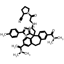 C=C(c1ccc2c(c1)CCc1cc(C(=O)N(C)C)ccc1C2(C[C@H](C)NCC(=O)N1CCCC1C#N)c1nnc(-c2ccc(C)cc2)[nH]1)N(C)C